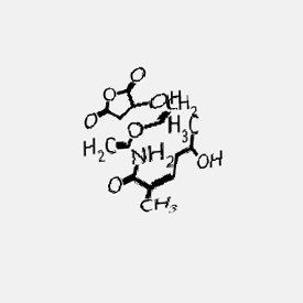 C=COC=C.CC(=CCC(C)O)C(N)=O.O=C1CC(O)C(=O)O1